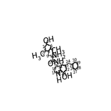 Cc1cc(O)cc(C)c1CC(N)C(=O)NC1CCNc2c(O)cc(Cc3ccccc3)cc21